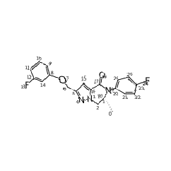 C[C@@H]1Cn2nc(COc3cccc(F)c3)cc2C(=O)N1c1ccc(F)cc1